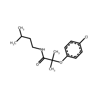 CC(C)CCNC(=O)C(C)(C)Oc1ccc(Cl)cc1